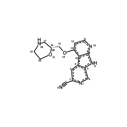 N#Cc1cc2c(cn1)[nH]c1nccc(OC[C@H]3CNCCO3)c12